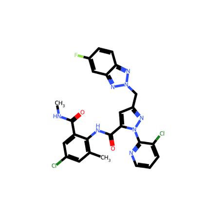 CNC(=O)c1cc(Cl)cc(C)c1NC(=O)c1cc(Cn2nc3ccc(F)cc3n2)nn1-c1ncccc1Cl